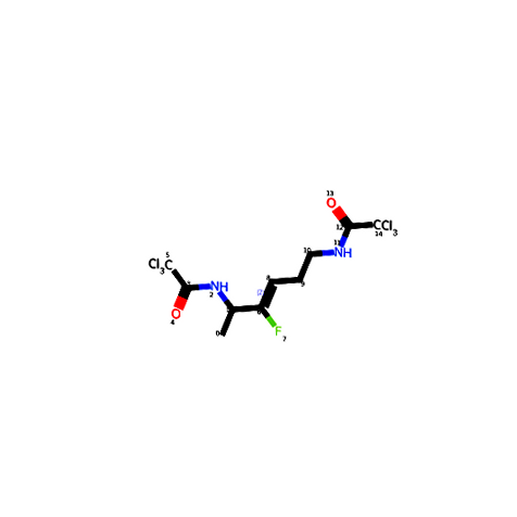 CC(NC(=O)C(Cl)(Cl)Cl)/C(F)=C/CCNC(=O)C(Cl)(Cl)Cl